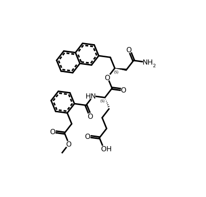 COC(=O)Cc1ccccc1C(=O)N[C@@H](CCCC(=O)O)C(=O)O[C@H](CC(N)=O)Cc1ccc2ccccc2c1